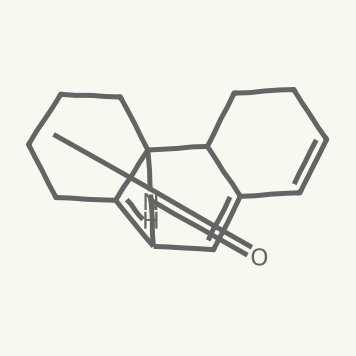 O=C1NC23CCCCC2=C1C=C1C=CCCC13